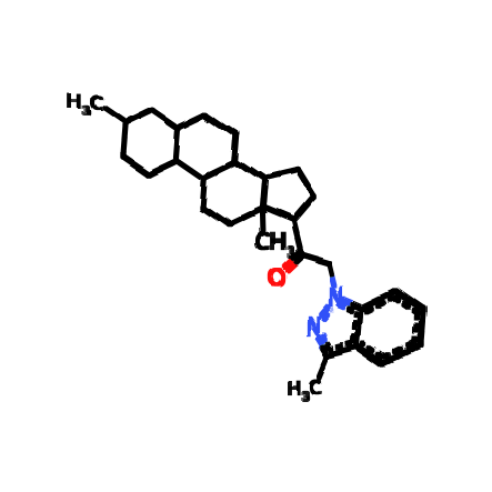 Cc1nn(CC(=O)C2CCC3C4CCC5CC(C)CCC5C4CCC23C)c2ccccc12